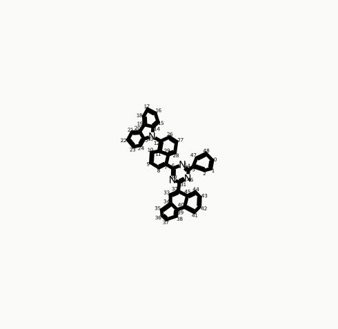 c1ccc(-c2nc(-c3cccc4c(-n5c6ccccc6c6ccccc65)cccc34)nc(-c3cc4ccccc4c4ccccc34)n2)cc1